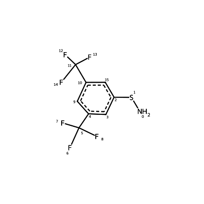 NSc1cc(C(F)(F)F)cc(C(F)(F)F)c1